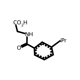 CC(C)c1cccc(C(=O)NCC(=O)O)c1